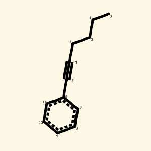 CCCCC#Cc1ccccc1